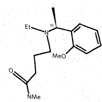 CCN(CCCC(=O)NC)[C@@H](C)c1ccccc1OC